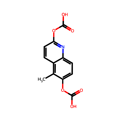 Cc1c(OC(=O)O)ccc2nc(OC(=O)O)ccc12